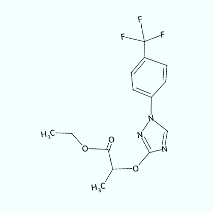 CCOC(=O)C(C)Oc1ncn(-c2ccc(C(F)(F)F)cc2)n1